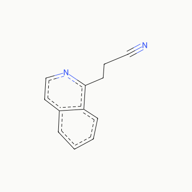 N#CCCc1nccc2ccccc12